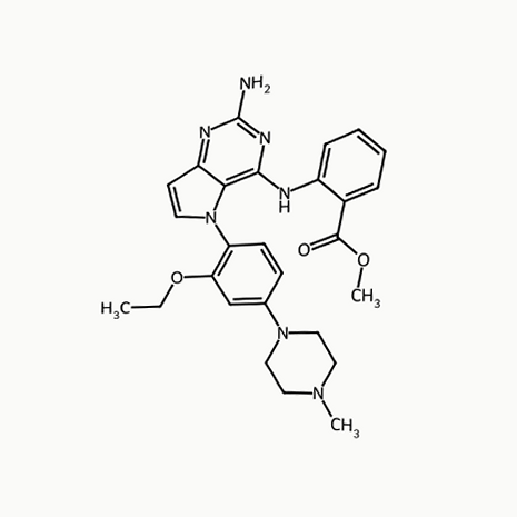 CCOc1cc(N2CCN(C)CC2)ccc1-n1ccc2nc(N)nc(Nc3ccccc3C(=O)OC)c21